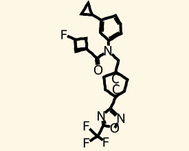 O=C(N(CC12CCC(c3noc(C(F)(F)F)n3)(CC1)CC2)c1cccc(C2CC2)c1)C12CC(F)(C1)C2